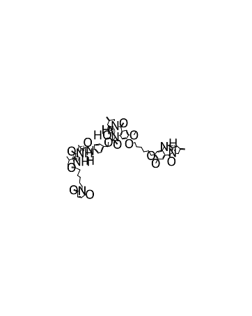 C=C1C[C@H]2C=Nc3cc(OCCCCCOc4cc5c(cc4OC)C(=O)N4CC(=C)C[C@H]4[C@H](O)N5C(=O)OCc4ccc(NC(=O)[C@H](C)NC(=O)[C@@H](NC(=O)CCCCCN5C(=O)C=CC5=O)C(C)C)cc4)c(OC)cc3C(=O)N2C1